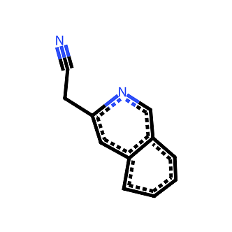 N#CCc1cc2ccccc2cn1